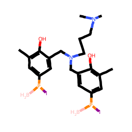 BP(I)c1cc(C)c(O)c(CN(CCCN(C)C)Cc2cc(P(B)I)cc(C)c2O)c1